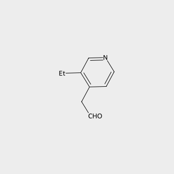 CCc1cnccc1CC=O